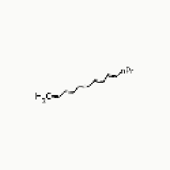 [CH2]CCC=CC=CC=CC=CC=C